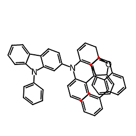 C1=CC(N(c2ccc3c4ccccc4n(-c4ccccc4)c3c2)c2ccccc2-c2cccc3cccc(-c4ccccc4)c23)=C2c3ccccc3OC2C1